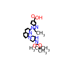 CCc1nc2cc(C(=O)O)ccc2n1-c1ccc2cccc(N3CCC(NC(=O)OC(C)(C)C)CC3)c2n1